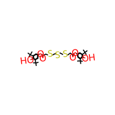 CC(C)(C)c1cc(OC(=O)CCSCCSCCSCCC(=O)Oc2cc(C(C)(C)C)c(O)c(C(C)(C)C)c2)cc(C(C)(C)C)c1O